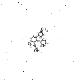 Cn1cc(-c2ccc3c(c2)/C(=N/O)CO3)c(-c2ccncc2)n1